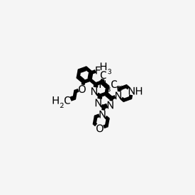 C=CCOc1cccc(F)c1-c1nc2nc(N3CCOCC3)nc(N3CCNC[C@H]3C)c2cc1C